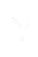 CN(C)c1ccc(-c2ccc([C@@H]3[C@@H](CC[C@H](O)c4ccc(F)cc4)C(=O)N3c3ccc(F)cc3)cc2)cc1